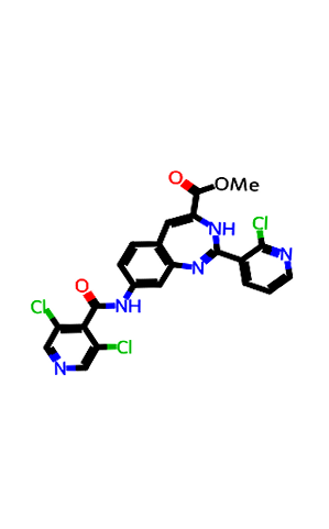 COC(=O)C1=Cc2ccc(NC(=O)c3c(Cl)cncc3Cl)cc2N=C(c2cccnc2Cl)N1